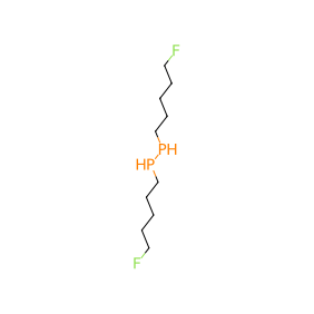 FCCCCCPPCCCCCF